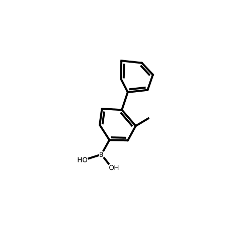 Cc1cc(B(O)O)ccc1-c1ccccc1